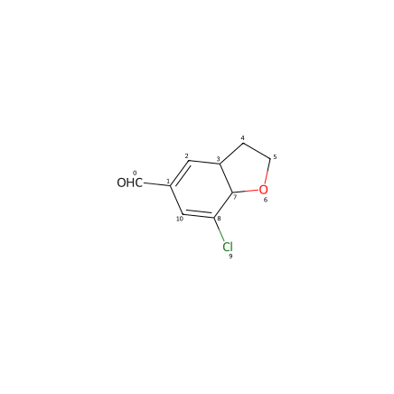 O=CC1=CC2CCOC2C(Cl)=C1